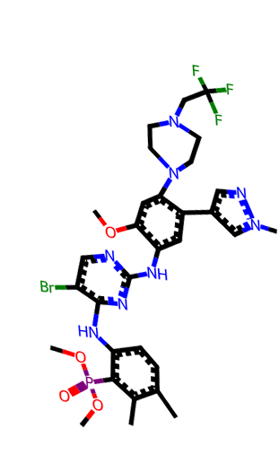 COc1cc(N2CCN(CC(F)(F)F)CC2)c(-c2cnn(C)c2)cc1Nc1ncc(Br)c(Nc2ccc(C)c(C)c2P(=O)(OC)OC)n1